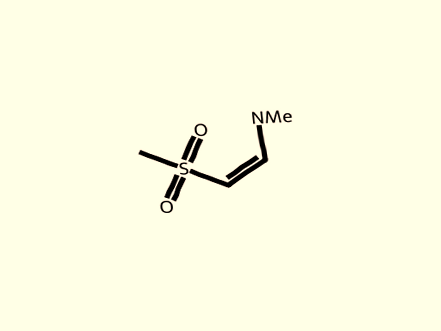 CN/C=C\S(C)(=O)=O